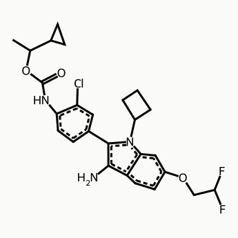 CC(OC(=O)Nc1ccc(-c2c(N)c3ccc(OCC(F)F)cc3n2C2CCC2)cc1Cl)C1CC1